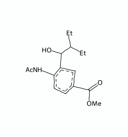 CCC(CC)C(O)c1cc(C(=O)OC)ccc1NC(C)=O